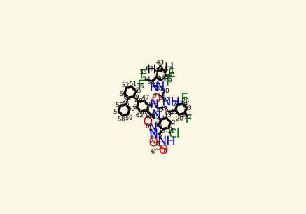 Cn1nc(NS(C)(=O)=O)c2c(Cl)ccc(-n3c([C@H](Cc4cc(F)cc(F)c4)NC(=O)Cn4nc(C(F)F)c5c4C(F)(F)[C@@H]4C[C@H]54)nc4cc(-c5ccccc5-c5ccccc5)ccc4c3=O)c21